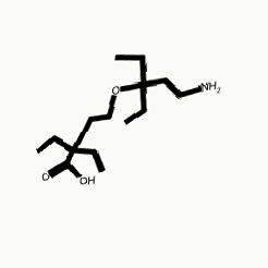 CCC(CC)(CCN)OCCC(CC)(CC)C(=O)O